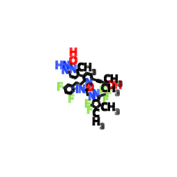 CC1=C(c2ccc(C#CC(C)(C)O)nc2[C@H](Cc2cc(F)cc(F)c2)NC(=O)Cn2nc(C(F)(F)F)c3c2C(F)(F)[C@H](C)[C@@H]3C)C=CC2=NNC(O)N21